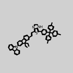 CCC1(CC)c2cc(/C=C/c3sc(-c4ccc(C(c5ccc(C)cc5)(c5ccc(C)cc5)c5ccc(C)cc5)cc4)c4c3N=CCN4)ccc2-c2ccc(N3c4ccccc4C4C=CC=CC43)cc21